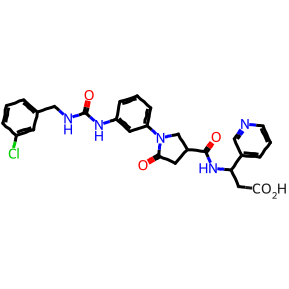 O=C(O)CC(NC(=O)C1CC(=O)N(c2cccc(NC(=O)NCc3cccc(Cl)c3)c2)C1)c1cccnc1